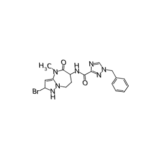 CN1C(=O)C(NC(=O)c2ncn(Cc3ccccc3)n2)CCN2NC(Br)C=C21